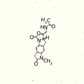 CC(=O)NC[C@@H]1OC(=O)N2c3cc4c(cc3C[C@@H]12)N(C)C(=O)C4